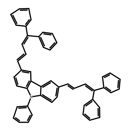 C(=Cc1ccc2c(c1)c1cc(C=CC=C(c3ccccc3)c3ccccc3)ccc1n2-c1ccccc1)C=C(c1ccccc1)c1ccccc1